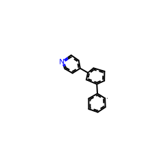 [c]1ccccc1-c1cccc(-c2ccncc2)c1